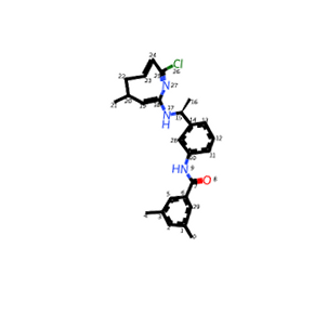 Cc1cc(C)cc(C(=O)Nc2cccc([C@H](C)NC3=C/C(C)C/C=C/C(Cl)=N\3)c2)c1